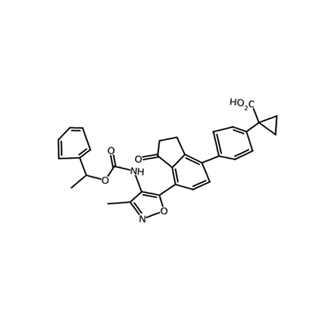 Cc1noc(-c2ccc(-c3ccc(C4(C(=O)O)CC4)cc3)c3c2C(=O)CC3)c1NC(=O)OC(C)c1ccccc1